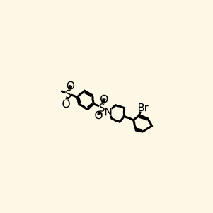 CS(=O)(=O)c1ccc(S(=O)(=O)N2CCC(C3C=CCC=C3Br)CC2)cc1